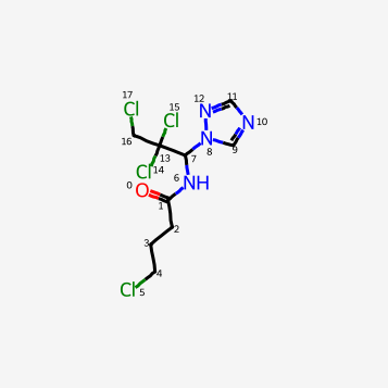 O=C(CCCCl)NC(n1cncn1)C(Cl)(Cl)CCl